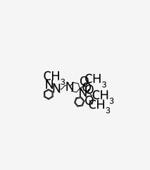 CCC(=O)N(c1ccccc1OC)C1(C(=O)OC)CCN(CCN2CN(CC)c3ccccc32)CC1